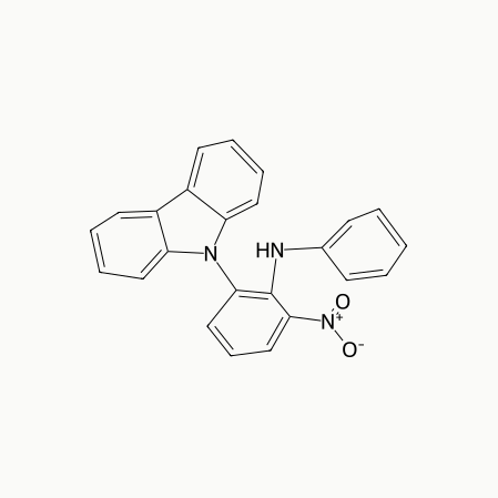 O=[N+]([O-])c1cccc(-n2c3ccccc3c3ccccc32)c1Nc1ccccc1